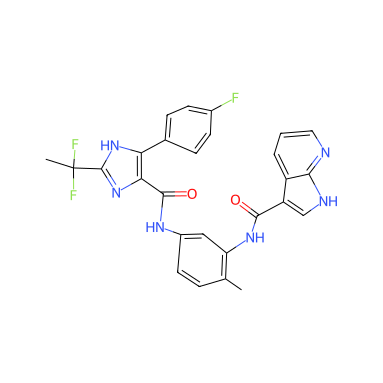 Cc1ccc(NC(=O)c2nc(C(C)(F)F)[nH]c2-c2ccc(F)cc2)cc1NC(=O)c1c[nH]c2ncccc12